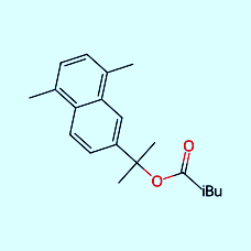 CCC(C)C(=O)OC(C)(C)c1ccc2c(C)ccc(C)c2c1